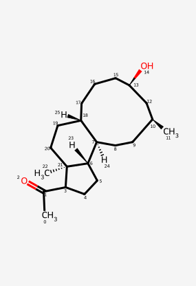 CC(=O)C1CC[C@H]2[C@@H]3CC[C@H](C)C[C@H](O)CCC[C@H]3CC[C@]12C